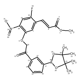 COC(=O)/C=C/c1cc(OCC(=O)c2cccc(B3OC(C)(C)C(C)(C)O3)c2)c([N+](=O)[O-])cc1F